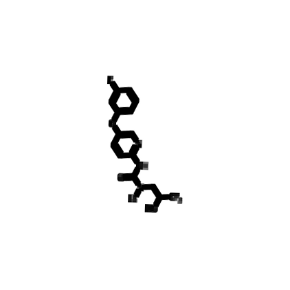 CCN(CC(O)C(F)(F)F)C(=O)Nc1ccc(Oc2cccc(F)c2)cn1